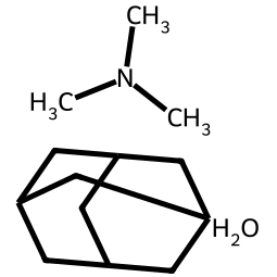 C1C2CC3CC1CC(C2)C3.CN(C)C.O